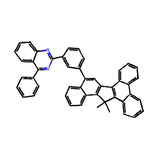 CC1(C)c2c(cc(-c3cccc(-c4nc(-c5ccccc5)c5ccccc5n4)c3)c3ccccc23)-c2c1c1ccccc1c1ccccc21